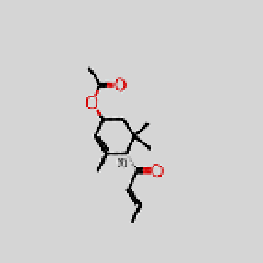 CC=CC(=O)[C@@H]1C(C)=CC(OC(C)=O)CC1(C)C